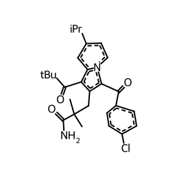 CC(C)c1ccn2c(C(=O)c3ccc(Cl)cc3)c(CC(C)(C)C(N)=O)c(C(=O)C(C)(C)C)c2c1